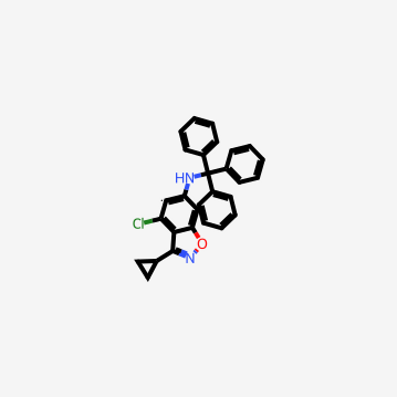 Clc1[c]c(NC(c2ccccc2)(c2ccccc2)c2ccccc2)cc2onc(C3CC3)c12